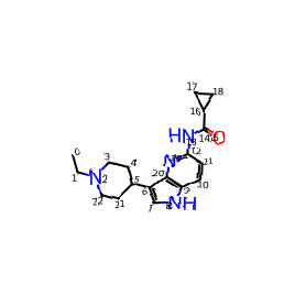 CCN1CCC(c2c[nH]c3ccc(NC(=O)C4CC4)nc23)CC1